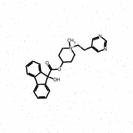 C[N+]1(CCc2cncnc2)CCC(OC(=O)C2(O)c3ccccc3-c3ccccc32)CC1